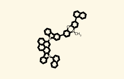 CN1c2ccc(-c3ccc4c(c3)c3ccccc3n4-c3cc4cc5c(c6ccc7cccc3c7c46)c3ccccc3n5-c3cccc4ccccc34)cc2Oc2cc(-c3cccc4ccccc34)ccc21